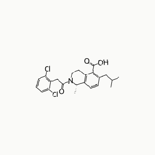 CC(C)Cc1ccc2c(c1C(=O)O)CCN(C(=O)Cc1c(Cl)cccc1Cl)[C@H]2C